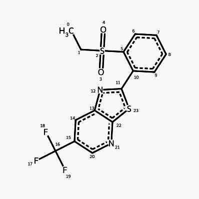 CCS(=O)(=O)c1ccccc1-c1nc2cc(C(F)(F)F)cnc2s1